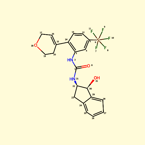 O=C(Nc1cc(S(F)(F)(F)(F)F)ccc1C1=CCOCC1)N[C@@H]1Cc2ccccc2[C@@H]1O